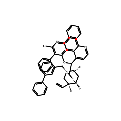 C=C[C@H]1C[N@+]2(Cc3cccc(-c4ccccc4)c3)CC[C@H]1C[C@@H]2[C@@H](Oc1nc(-c2ccccc2)nc(Cl)c1-c1ccccc1)c1ccnc2ccccc12